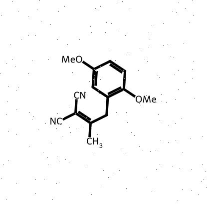 COc1ccc(OC)c(CC(C)=C(C#N)C#N)c1